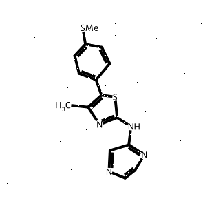 CSc1ccc(-c2sc(Nc3cnccn3)nc2C)cc1